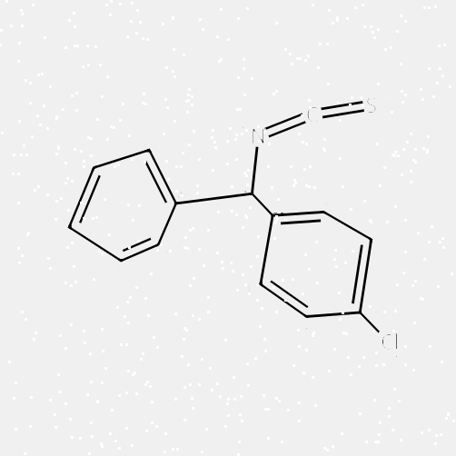 S=C=NC(c1ccccc1)c1ccc(Cl)cc1